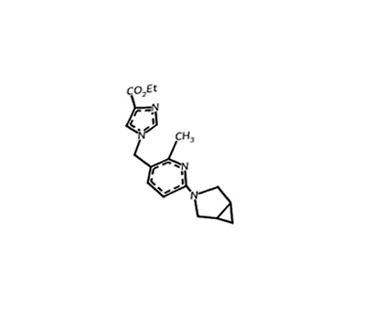 CCOC(=O)c1cn(Cc2ccc(N3CC4CC4C3)nc2C)cn1